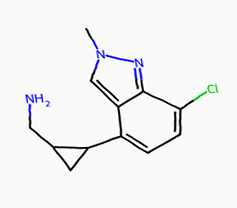 Cn1cc2c(C3CC3CN)ccc(Cl)c2n1